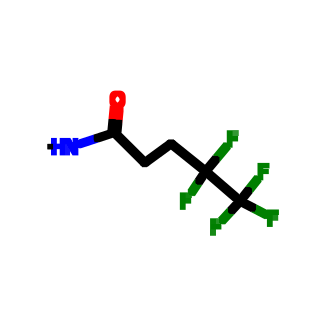 [NH]C(=O)CCC(F)(F)C(F)(F)F